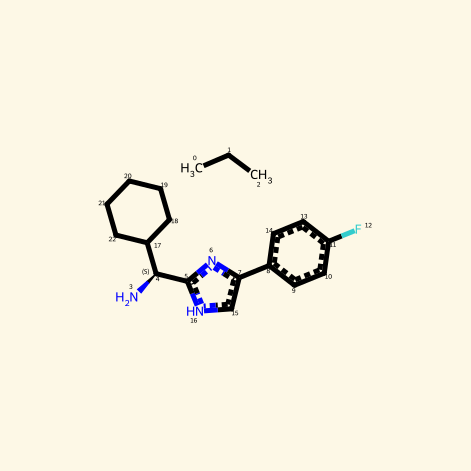 CCC.N[C@H](c1nc(-c2ccc(F)cc2)c[nH]1)C1CCCCC1